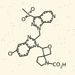 CS(=O)(=O)c1nn(Cc2nc3cc(Cl)ccc3n2C2OCC23CCCN3C(=O)O)c2cnccc12